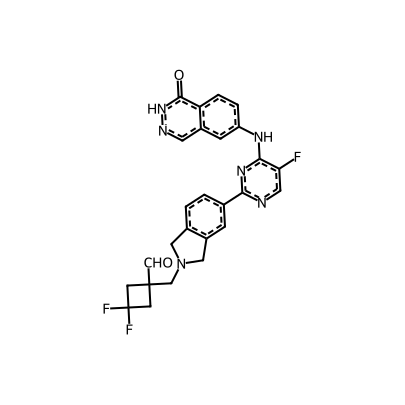 O=CC1(CN2Cc3ccc(-c4ncc(F)c(Nc5ccc6c(=O)[nH]ncc6c5)n4)cc3C2)CC(F)(F)C1